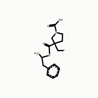 CC(Cc1ccccc1)OC(=O)C1(CF)CCN(C(=O)O)C1